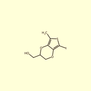 Cc1sc(I)c2c1OC(CO)CO2